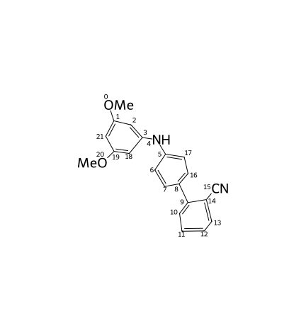 COc1cc(Nc2ccc(-c3ccccc3C#N)cc2)cc(OC)c1